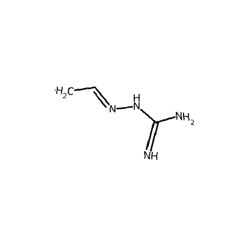 [CH2]C=NNC(=N)N